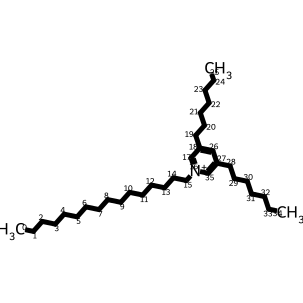 CCCCCCCCCCCCCCCC[n+]1cc(CCCCCCC)cc(CCCCCCC)c1